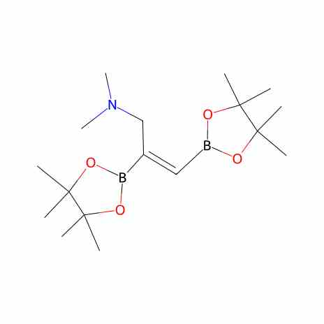 CN(C)CC(=CB1OC(C)(C)C(C)(C)O1)B1OC(C)(C)C(C)(C)O1